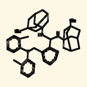 Cc1ccccc1P(Cc1ccccc1C(PC12CC3CC(C1)CC(C(C)(C)C)(C3)C2)PC12CC3CC(C1)CC(C(C)(C)C)(C3)C2)c1ccccc1C